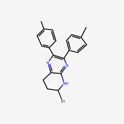 CCC1CCc2nc(-c3ccc(C)cc3)c(-c3ccc(C)cc3)nc2N1